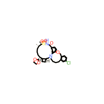 C[C@@H]1[C@@H](C)CCC[C@@H](C2OCCO2)[C@@H]2CC[C@H]2CN2CCCCc3cc(Cl)ccc3COc3ccc(cc32)C(=O)NS1(=O)=O